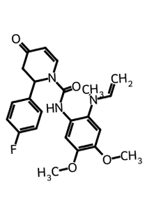 C=CN(C)c1cc(OC)c(OC)cc1NC(=O)N1C=CC(=O)CC1c1ccc(F)cc1